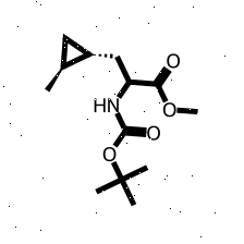 COC(=O)C(C[C@H]1C[C@@H]1C)NC(=O)OC(C)(C)C